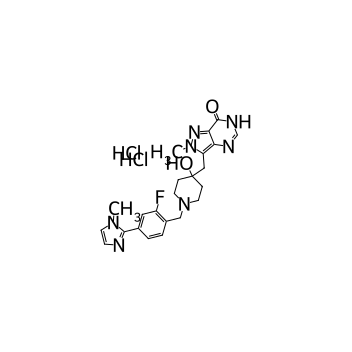 Cl.Cl.Cn1ccnc1-c1ccc(CN2CCC(O)(Cc3c4nc[nH]c(=O)c4nn3C)CC2)c(F)c1